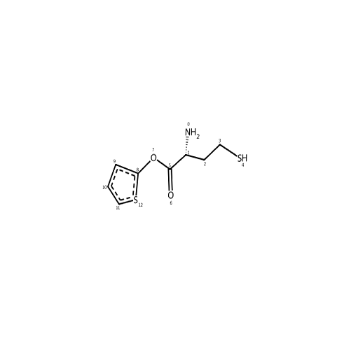 N[C@H](CCS)C(=O)Oc1cccs1